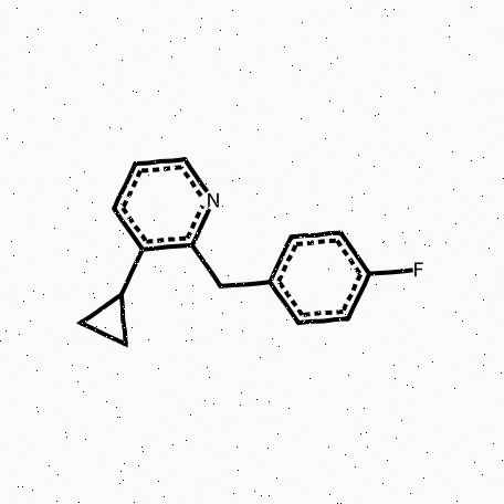 Fc1ccc(Cc2ncccc2C2CC2)cc1